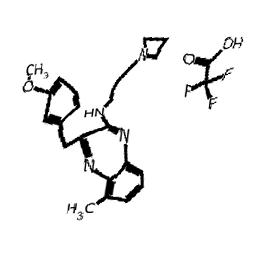 COc1cccc(Cc2nc3c(C)cccc3nc2NCCN2CCC2)c1.O=C(O)C(F)(F)F